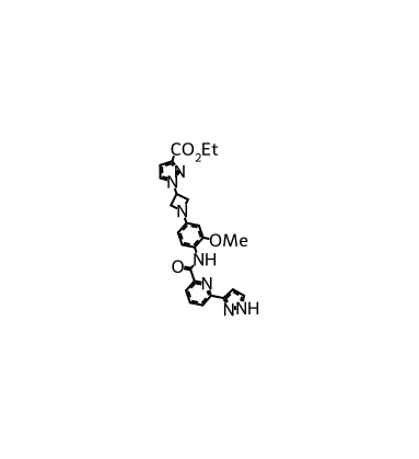 CCOC(=O)c1ccn(C2CN(c3ccc(NC(=O)c4cccc(-c5cc[nH]n5)n4)c(OC)c3)C2)n1